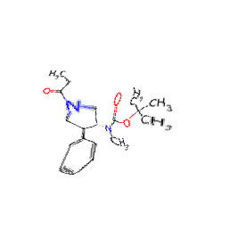 CCC(=O)N1C[C@H](c2ccccc2)[C@@H](N(C)C(=O)OC(C)(C)C)C1